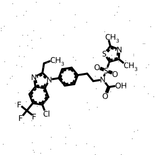 CCc1nc2cc(C(F)(F)F)c(Cl)cc2n1-c1ccc(CCN(C(=O)O)S(=O)(=O)c2sc(C)nc2C)cc1